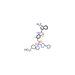 Cn1cc(C(=O)Nc2cc(F)c(CC(=O)C(O[C@H]3CC[C@H](C(=O)O)CC3)(N3CCCC3)N3CCN(C4CCCC4)CC3)cc2Cl)c2ccccc21